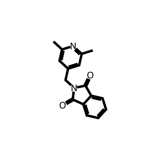 Cc1cc(CN2C(=O)c3ccccc3C2=O)cc(C)n1